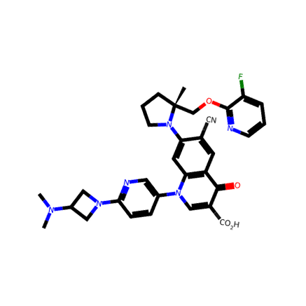 CN(C)C1CN(c2ccc(-n3cc(C(=O)O)c(=O)c4cc(C#N)c(N5CCC[C@]5(C)COc5ncccc5F)cc43)cn2)C1